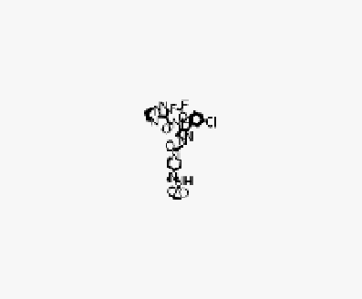 CN(NC1OCCO1)C1CCN(C(=O)Cn2cc(NC(=O)c3cnn4cccnc34)c(-c3cc(Cl)ccc3OC(F)F)n2)CC1